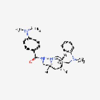 CN(C)c1ccc(C(=O)NC[C@H]2C[C@@H]3CC[N@@]2C[C@@H]3CN(C)c2ccccc2)cc1